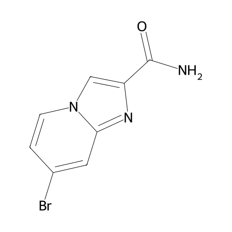 NC(=O)c1cn2ccc(Br)cc2n1